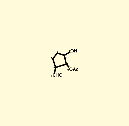 CC(=O)OC1C(O)CCC1C=O